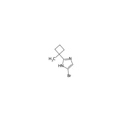 CC1(c2ncc(Br)[nH]2)CCC1